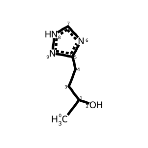 CC(O)CCc1nc[nH]n1